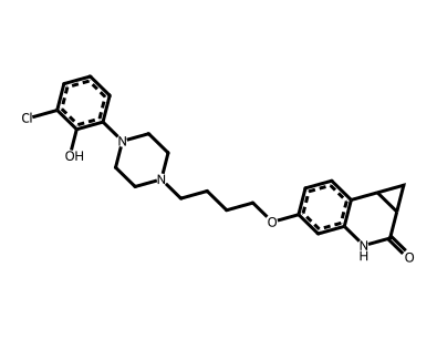 O=C1Nc2cc(OCCCCN3CCN(c4cccc(Cl)c4O)CC3)ccc2C2CC12